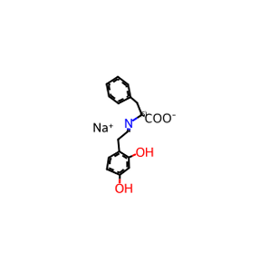 O=C([O-])[C@H](Cc1ccccc1)N=CCc1ccc(O)cc1O.[Na+]